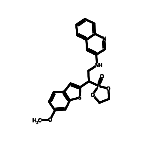 COc1ccc2cc(C(CNc3cnc4ccccc4c3)P3(=O)OCCO3)sc2c1